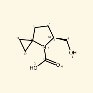 O=C(O)N1[C@H](CO)CCC12CC2